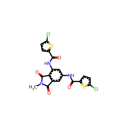 CN1C(=O)c2cc(NC(=O)c3ccc(Cl)s3)cc(NC(=O)c3ccc(Cl)s3)c2C1=O